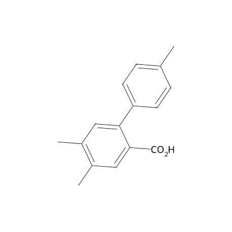 Cc1ccc(-c2cc(C)c(C)cc2C(=O)O)cc1